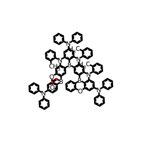 Cc1ccccc1N1c2cc3c(cc2B2c4ccccc4Oc4cc(N(c5ccccc5)c5ccccc5)cc1c42)B1c2cc4c(cc2N(c2ccccc2C)c2cc(N(c5ccccc5)c5ccccc5)cc(c21)N3c1ccccc1C)Oc1cc(N(c2ccccc2)c2ccccc2)cc2c1B4c1ccccc1O2